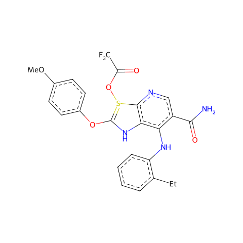 CCc1ccccc1Nc1c(C(N)=O)cnc2c1NC(Oc1ccc(OC)cc1)=S2OC(=O)C(F)(F)F